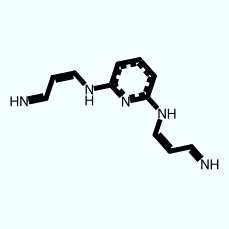 N=C/C=C\Nc1cccc(N/C=C\C=N)n1